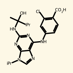 CC(C)n1cnc2c(Nc3ccc(C(=O)O)c(Cl)c3)nc(NC(C)(O)C(C)C)nc21